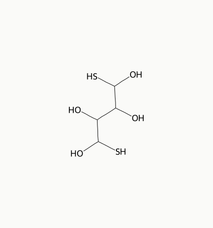 OC(S)C(O)C(O)C(O)S